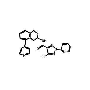 Cc1nn(-c2ccccc2)nc1C(=O)N[C@@H]1CCc2cccc(-c3ccncc3)c2C1